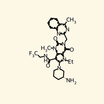 CCn1c(N2CCC[C@@H](N)C2)c(C(=O)NCC(F)(F)F)c2c1c(=O)n(Cc1nc(C)c3ccccc3n1)c(=O)n2C